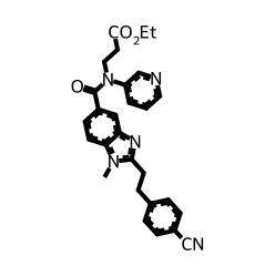 CCOC(=O)CCN(C(=O)c1ccc2c(c1)nc(CCc1ccc(C#N)cc1)n2C)c1cccnc1